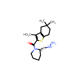 CC1(C)CCc2sc(C(=O)N3CCCC[C@@H]3CNN)c(C(=O)O)c2C1